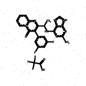 CC(Nc1nc(N)nc2[nH]cnc12)c1nc2ccccn2c(=O)c1-c1cc(F)cc(F)c1.O=C(O)C(F)(F)F